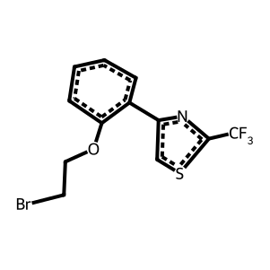 FC(F)(F)c1nc(-c2ccccc2OCCBr)cs1